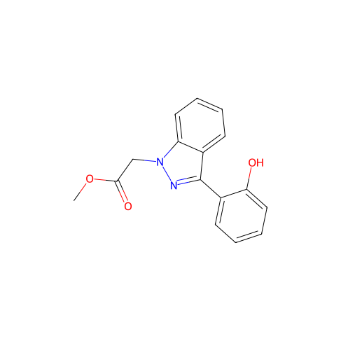 COC(=O)Cn1nc(-c2ccccc2O)c2ccccc21